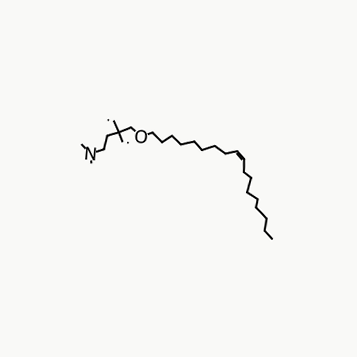 [CH2]C([CH2])(CCN(C)C)COCCCCCCCC/C=C\CCCCCCCC